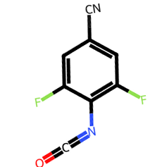 N#Cc1cc(F)c(N=C=O)c(F)c1